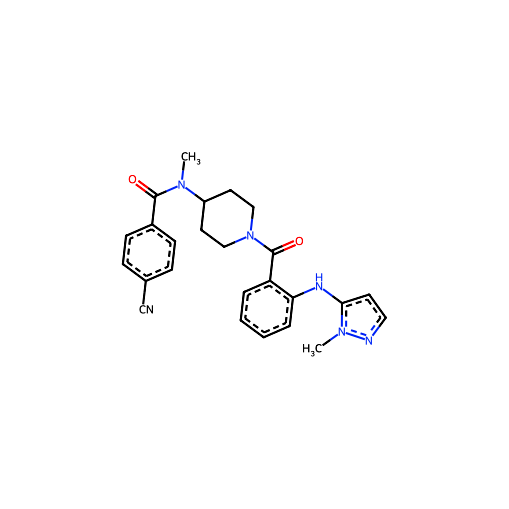 CN(C(=O)c1ccc(C#N)cc1)C1CCN(C(=O)c2ccccc2Nc2ccnn2C)CC1